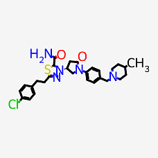 CC1CCN(Cc2ccc(N3C[C@H](N4N=C(CCc5ccc(Cl)cc5)SC4C(N)=O)CC3=O)cc2)CC1